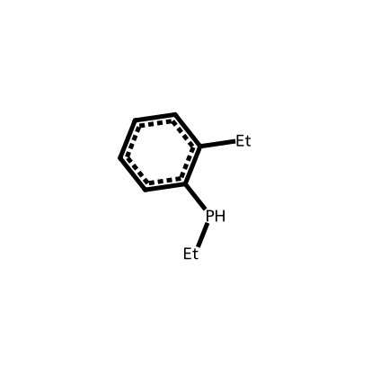 CCPc1ccccc1CC